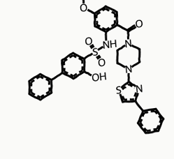 COc1ccc(C(=O)N2CCN(c3nc(-c4ccccc4)cs3)CC2)c(NS(=O)(=O)c2ccc(-c3ccccc3)cc2O)c1